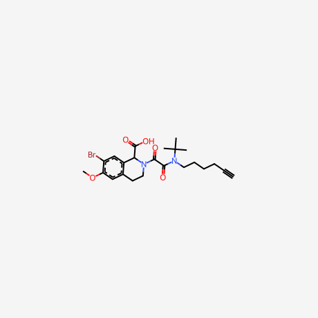 C#CCCCCN(C(=O)C(=O)N1CCc2cc(OC)c(Br)cc2C1C(=O)O)C(C)(C)C